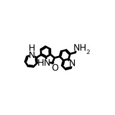 NCc1ccc(C2C(=O)Nc3c(C4=CC=CC=CN4)cccc32)c2cccnc12